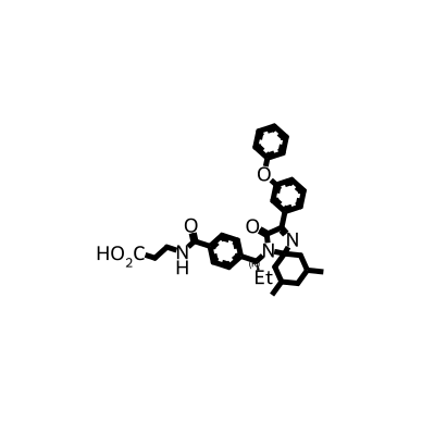 CC[C@H](c1ccc(C(=O)NCCC(=O)O)cc1)N1C(=O)C(c2cccc(Oc3ccccc3)c2)=NC12CC(C)CC(C)C2